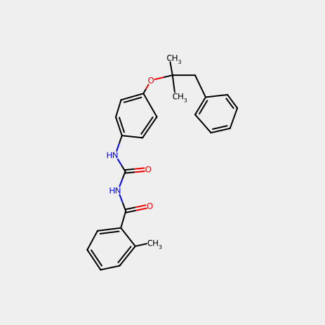 Cc1ccccc1C(=O)NC(=O)Nc1ccc(OC(C)(C)Cc2ccccc2)cc1